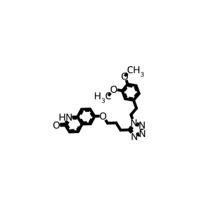 COc1ccc(CCn2nnnc2CCCOc2ccc3[nH]c(=O)ccc3c2)cc1OC